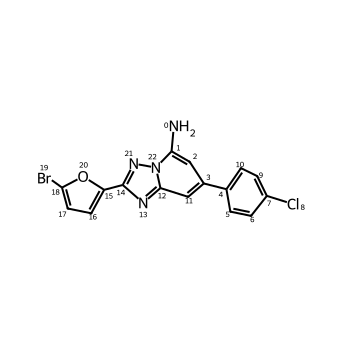 Nc1cc(-c2ccc(Cl)cc2)cc2nc(-c3ccc(Br)o3)nn12